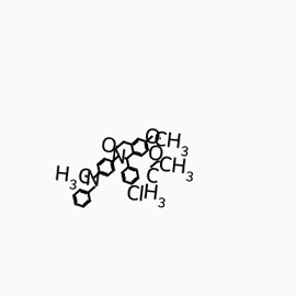 CCC(C)Oc1cc2c(cc1OC)CC(=O)N(c1ccc(N(C)Cc3ccccc3)cc1)C2c1ccc(Cl)cc1